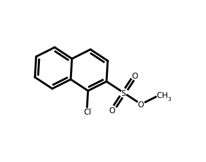 COS(=O)(=O)c1ccc2ccccc2c1Cl